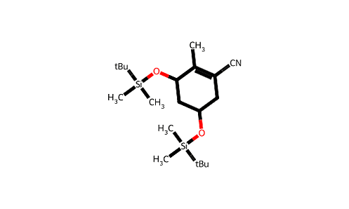 CC1=C(C#N)CC(O[Si](C)(C)C(C)(C)C)CC1O[Si](C)(C)C(C)(C)C